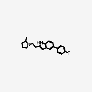 CC1CCCN1CCc1cc2cc(-c3ccc(F)cc3)ccc2[nH]1